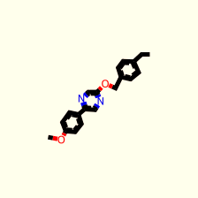 CCc1ccc(COc2cnc(-c3ccc(OC)cc3)cn2)cc1